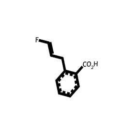 O=C(O)c1ccccc1CC=CF